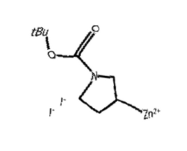 CC(C)(C)OC(=O)N1CC[CH]([Zn+2])C1.[I-].[I-]